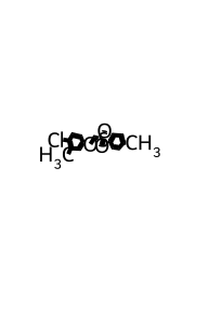 Cc1ccc(S(=O)(=O)COc2ccc(Cl)c(C)c2)cc1